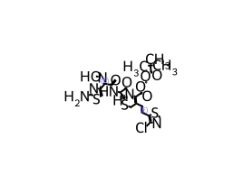 CC(C)(C)C(=O)OCOC(=O)C1=C(/C=C/c2scnc2Cl)CS[C@@H]2C(NC(=O)/C(=N/O)c3csc(N)n3)C(=O)N12